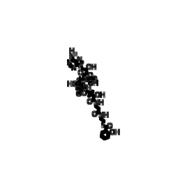 CC(C)(COP(=O)(O)OP(=O)(O)OC[C@H]1O[C@@H](n2cnc3c(N)ncnc32)[C@H](O)[C@@H]1OP(=O)(O)O)C(O)C(=O)NCCC(=O)NCCSC(=O)c1ccccc1O